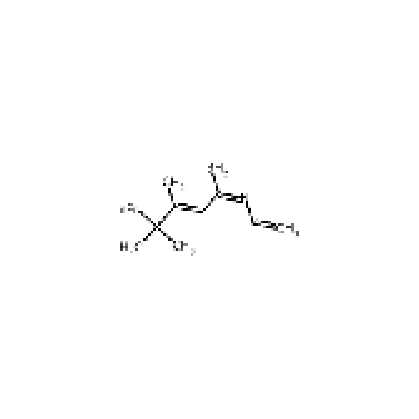 BC(/C=C(\C)C(C)(C)CCC)=N/C=C